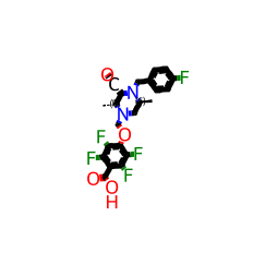 C[C@@H]1C(=C=O)N(Cc2ccc(F)cc2)[C@@H](C)CN1COc1c(F)c(F)c(C(=O)O)c(F)c1F